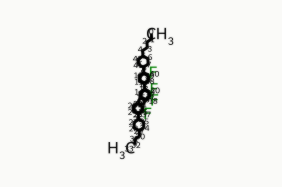 CCCCCC1CCC(c2ccc(-c3cc4c(c(F)c3F)-c3c-4ccc(C4CCC(CCCC)CC4)c3F)cc2F)CC1